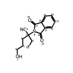 N#CC(CF)(CCCO)N1C(=O)c2ccccc2C1=O